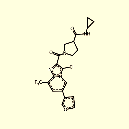 O=C(NC1CC1)C1CCN(C(=O)c2nc3c(C(F)(F)F)cc(-c4ccoc4)cn3c2Cl)C1